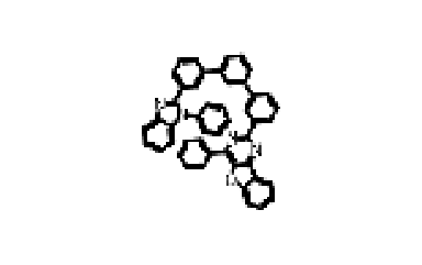 c1ccc(-c2nc(-c3cccc(-c4cccc(-c5cccc(-c6nc7ccccc7n6-c6ccccc6)c5)c4)c3)nc3c2oc2ccccc23)cc1